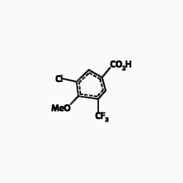 COc1c(Cl)cc(C(=O)O)cc1C(F)(F)F